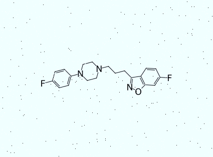 Fc1ccc(N2CCN(CCCc3noc4cc(F)ccc34)CC2)cc1